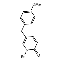 CCn1cc(Cc2ccc(OC)cc2)ccc1=O